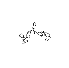 C1=CC2C=Cc3oc4cc(-c5cc(-c6ccccc6)nc(-c6ccc(-c7c8ccccc8cc8c7ccc7ccccc78)cc6)n5)ccc4c3C2C=C1